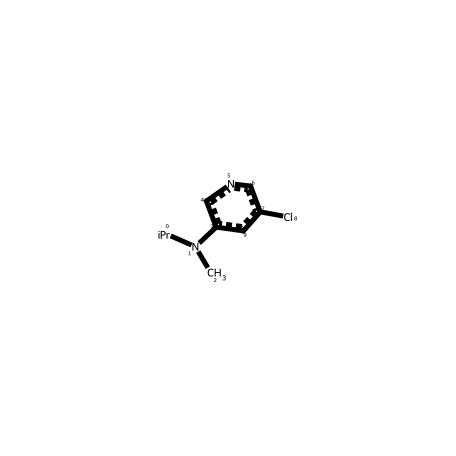 CC(C)N(C)c1cncc(Cl)c1